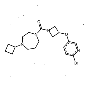 O=C(N1CCCN(C2CCC2)CC1)N1CC(Oc2ccc(Br)nc2)C1